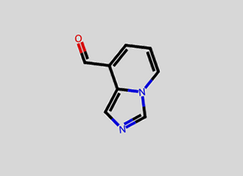 O=Cc1cccn2cncc12